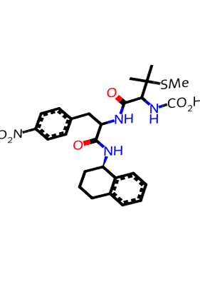 CSC(C)(C)C(NC(=O)O)C(=O)NC(Cc1ccc([N+](=O)[O-])cc1)C(=O)N[C@@H]1CCCc2ccccc21